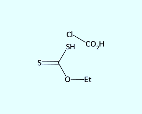 CCOC(=S)S.O=C(O)Cl